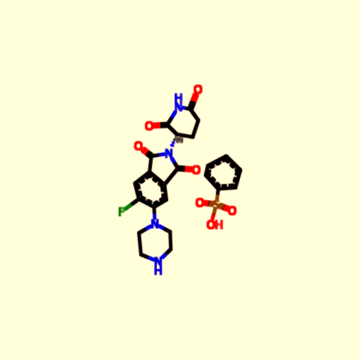 O=C1CC[C@H](N2C(=O)c3cc(F)c(N4CCNCC4)cc3C2=O)C(=O)N1.O=S(=O)(O)c1ccccc1